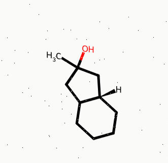 CC1(O)CC2CCCC[C@H]2C1